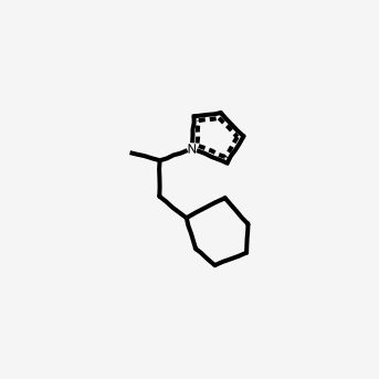 CC(CC1CCCCC1)n1cccc1